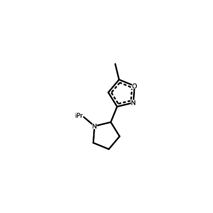 Cc1cc(C2CCCN2C(C)C)no1